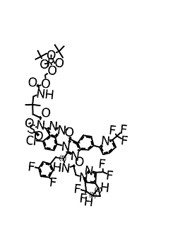 Cn1nc(N(C(=O)CC(C)(C)CNC(=O)OCOP(=O)(OC(C)(C)C)OC(C)(C)C)S(C)(=O)=O)c2c(Cl)ccc(-n3c([C@H](Cc4cc(F)cc(F)c4)NC(=O)Cn4nc(C(F)F)c5c4C(F)(F)[C@@H]4C[C@H]54)nc4cc(-c5cccc(C(F)(F)F)n5)ccc4c3=O)c21